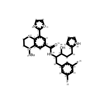 CCCCN1CCSc2c(-c3ncco3)cc(C(=O)NC(Cc3cc(F)cc(F)c3)C(O)CCc3ccc[nH]3)cc21